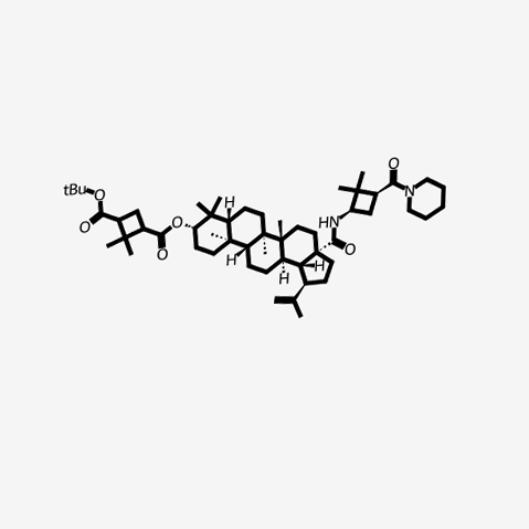 C=C(C)[C@@H]1CC[C@]2(C(=O)N[C@@H]3C[C@H](C(=O)N4CCCCC4)C3(C)C)CC[C@]3(C)[C@H](CC[C@@H]4[C@@]5(C)CC[C@H](OC(=O)C6CC(C(=O)OC(C)(C)C)C6(C)C)C(C)(C)[C@@H]5CC[C@]43C)[C@@H]12